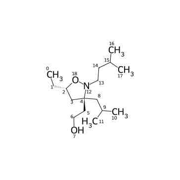 CC[C@H]1C[C@@](CCO)(CC(C)C)N(CCC(C)C)O1